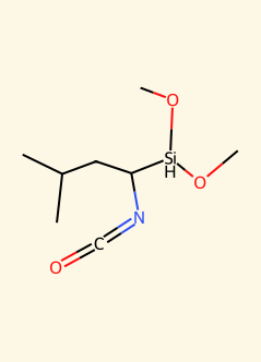 CO[SiH](OC)C(CC(C)C)N=C=O